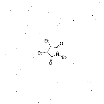 CCC1C(=O)N(CC)C(=O)C1CC